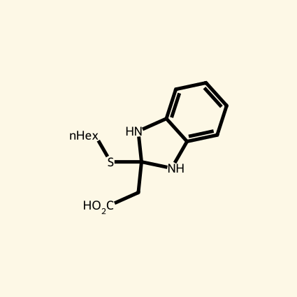 CCCCCCSC1(CC(=O)O)Nc2ccccc2N1